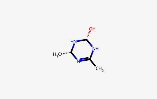 CC1=N[C@H](C)N[C@H](O)N1